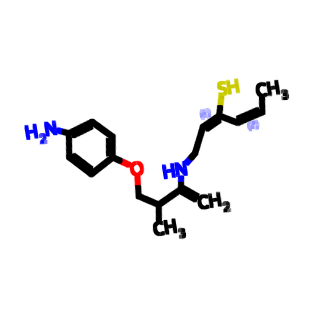 C=C(NC/C=C(S)\C=C/C)C(C)COc1ccc(N)cc1